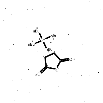 CCCC[P+](CCCC)(CCCC)CCCC.O=C1CCC(=O)[N-]1